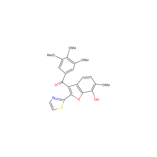 COc1cc(C(=O)c2c(-c3nccs3)oc3c(O)c(OC)ccc23)cc(OC)c1OC